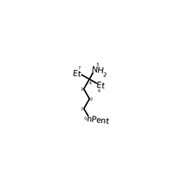 CCCCCCCCC(N)(CC)CC